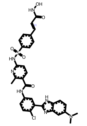 Cc1nc(NS(=O)(=O)c2ccc(/C=C/C(=O)NO)cc2)ccc1C(=O)Nc1ccc(Cl)c(-c2nc3cc(N(C)C)ccc3[nH]2)c1